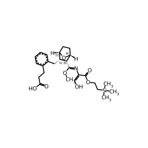 COC(=NC(=CO)C(=O)OCC[Si](C)(C)C)[C@@H]1[C@H](Cc2ccccc2CCC(=O)O)[C@@H]2CC[C@H]1O2